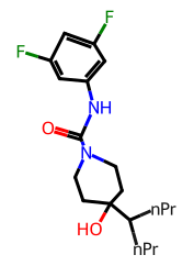 CCCC(CCC)C1(O)CCN(C(=O)Nc2cc(F)cc(F)c2)CC1